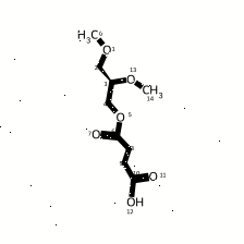 COC[C@H](COC(=O)CCC(=O)O)OC